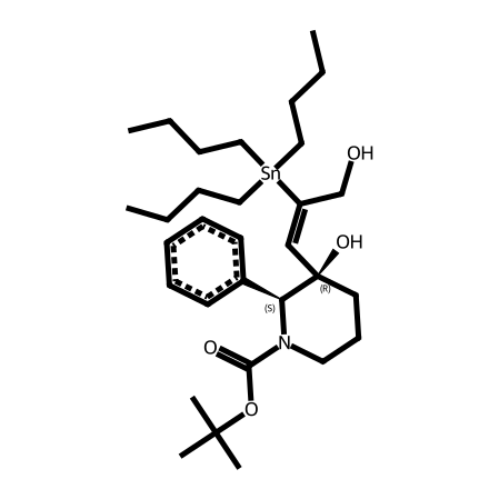 CCC[CH2][Sn]([CH2]CCC)([CH2]CCC)[C](=C[C@]1(O)CCCN(C(=O)OC(C)(C)C)[C@H]1c1ccccc1)CO